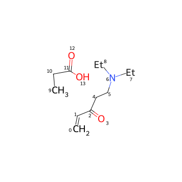 C=CC(=O)CCN(CC)CC.CCC(=O)O